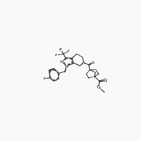 COC(=O)C12CCC(C(=O)N3CCc4c(C(F)(F)F)nn(Cc5ccc(F)cc5)c4C3)(CC1)C2